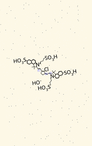 CC1(C)C(/C=C/C2=C(Cl)C(=C\C=C3/N(CCCCS(=O)(=O)O)c4ccc5cc(S(=O)(=O)O)ccc5c4C3(C)C)/CC2)=[N+](CCCCS(=O)(=O)O)c2ccc3cc(S(=O)(=O)O)ccc3c21.[OH-]